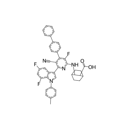 Cc1ccc(-n2cc(-c3nc(NC4C5CCC(CC5)C4C(=O)O)c(F)c(-c4ccc(-c5ccccc5)cc4)c3C#N)c3cc(F)cc(F)c32)cc1